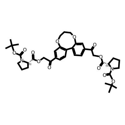 CC(C)(C)OC(=O)N1CCC[C@H]1C(=O)OCC(=O)c1ccc2c(c1)OCCCOc1cc(C(=O)COC(=O)[C@@H]3CCCN3C(=O)OC(C)(C)C)ccc1-2